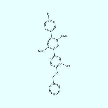 COc1cc(-c2ccc(OCc3ccccc3)c(O)c2)c(OC)cc1-c1ccc(F)cc1